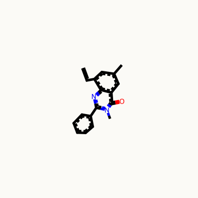 C=Cc1cc(C)cc2c(=O)n(C)c(-c3ccccc3)nc12